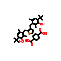 Cc1cc(C(C)(C)C)c(O)c(C)c1Cc1ccsc1Cc1c(C)cc(C(C)(C)C)c(O)c1C.O=C(O)c1ccc(C(=O)O)cc1